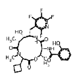 C[C@H]1OC(=O)C(C2CCC2)N(C)C(=O)[C@H](C)[C@H](O)[C@H](Cc2c(F)nc(F)c(F)c2F)NC(=O)[C@H]1NC(=O)c1ccccc1O